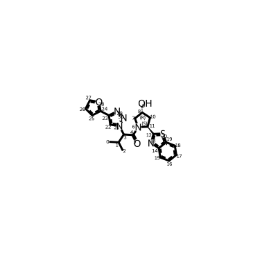 CC(C)C(C(=O)N1C[C@H](O)C[C@H]1c1nc2ccccc2s1)n1cc(-c2ccco2)nn1